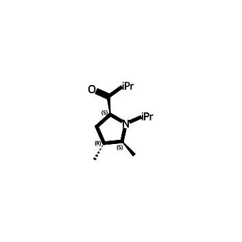 CC(C)C(=O)[C@@H]1C[C@@H](C)[C@H](C)N1C(C)C